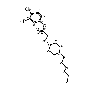 CCCCCC[C@H]1CC[C@H](CCC(=O)Oc2ccc(Cl)c(F)c2)CC1